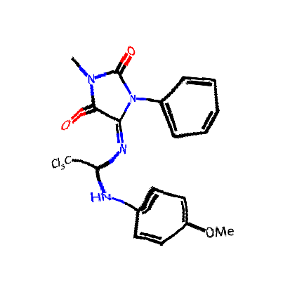 COc1ccc(NC(N=C2C(=O)N(C)C(=O)N2c2ccccc2)C(Cl)(Cl)Cl)cc1